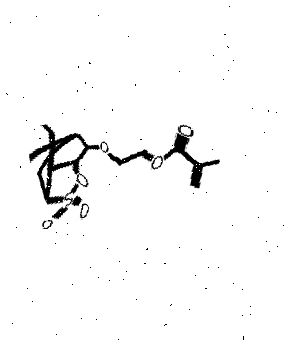 C=C(C)C(=O)OCCOC1C2OS(=O)(=O)C3CC1C(C)(C)C23